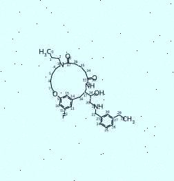 CCCN1CCCCOc2cc(F)cc(c2)CC(C(O)CNCc2cccc(CC)c2)NC(=O)CCCC1=O